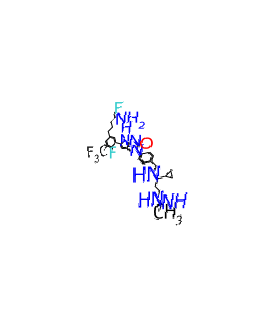 CC(=N)NCCC(NCc1ccc(-n2cc3cc(-c4cc(CCC[C@@H](N)CF)cc(C(F)(F)F)c4F)[nH]c3nc2=O)cc1)C1CC1